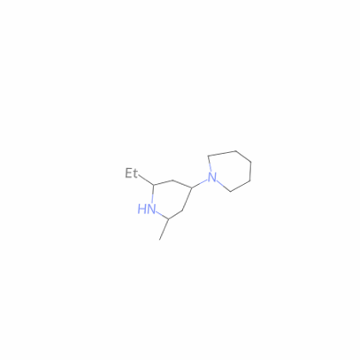 CCC1CC(N2CCCCC2)CC(C)N1